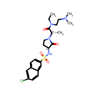 CCN(CCN(C)C)C(=O)[C@H](C)N1CC[C@H](NS(=O)(=O)c2ccc3cc(Cl)ccc3c2)C1=O